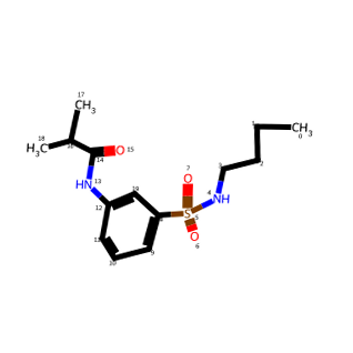 CCCCNS(=O)(=O)c1cccc(NC(=O)C(C)C)c1